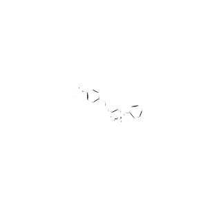 O=[N+]([O-])c1ccc(COc2cn(-c3ccccc3)nn2)cc1